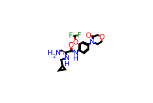 NC[C@H](NCC1CC1)C(=O)Nc1ccc(N2CCOCC2=O)cc1OC(F)F